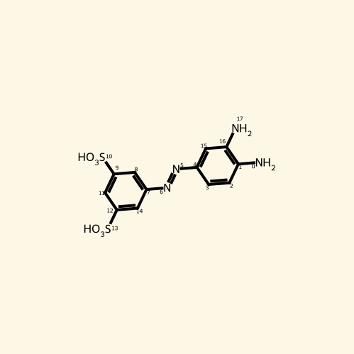 Nc1ccc(/N=N/c2cc(S(=O)(=O)O)cc(S(=O)(=O)O)c2)cc1N